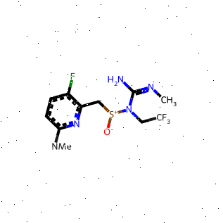 C/N=C(/N)N(CC(F)(F)F)[S+]([O-])Cc1nc(NC)ccc1F